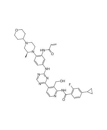 C=CC(=O)Nc1cc(Nc2ncnc(-c3ccnc(NC(=O)c4ccc(C5CC5)cc4F)c3CO)n2)ccc1N1CCN(C2CCOCC2)C[C@@H]1C